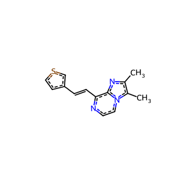 Cc1nc2c(C=Cc3ccsc3)nccn2c1C